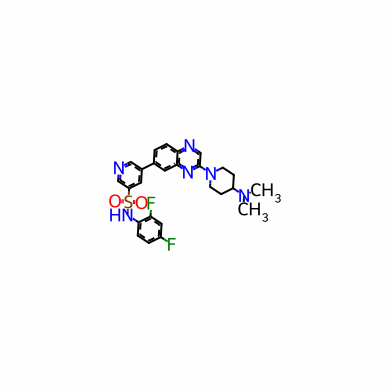 CN(C)C1CCN(c2cnc3ccc(-c4cncc(S(=O)(=O)Nc5ccc(F)cc5F)c4)cc3n2)CC1